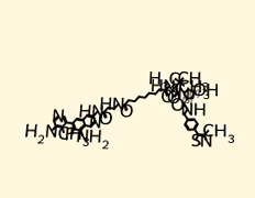 Cc1ncsc1-c1ccc(CNC(=O)[C@@H]2C[C@@H](O)CN2C(=O)[C@@H](NC(=O)CCCCCCCC(=O)NCCC(=O)Nc2cc3cc(-c4cncc(N)c4C)c(F)c(N)c3cn2)C(C)(C)C)cc1